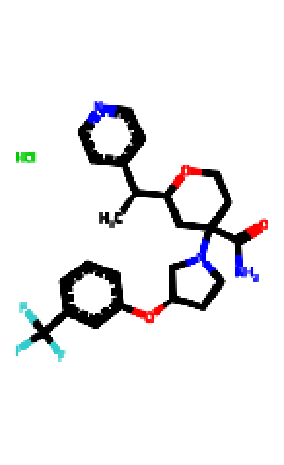 C[C@@H](c1ccncc1)C1CC(C(N)=O)(N2CC[C@@H](Oc3cccc(C(F)(F)F)c3)C2)CCO1.Cl